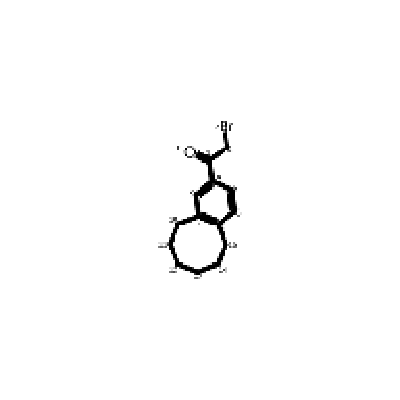 O=C(CBr)c1ccc2c(c1)CCCCCC2